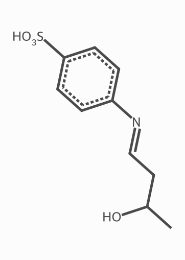 CC(O)CC=Nc1ccc(S(=O)(=O)O)cc1